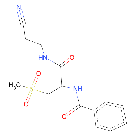 CS(=O)(=O)CC(NC(=O)c1ccccc1)C(=O)NCCC#N